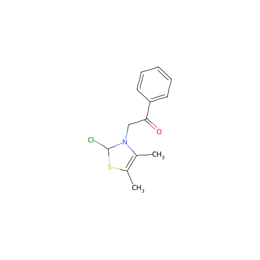 CC1=C(C)N(CC(=O)c2ccccc2)C(Cl)S1